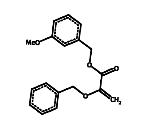 C=C(OCc1ccccc1)C(=O)OCc1cccc(OC)c1